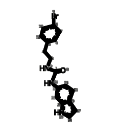 O=C(NCCc1ccc(Br)cc1)Nc1ccc2cc[nH]c2c1